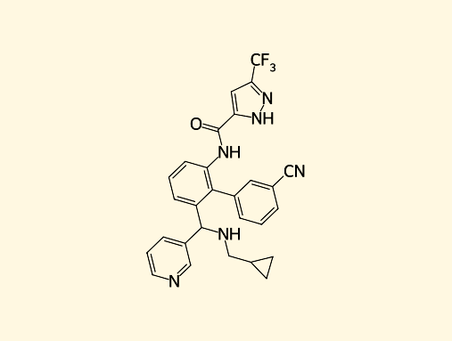 N#Cc1cccc(-c2c(NC(=O)c3cc(C(F)(F)F)n[nH]3)cccc2C(NCC2CC2)c2cccnc2)c1